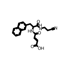 N#CCCNC(=O)C(Cc1ccc2ccccc2c1)NC(=O)C=CC(=O)O